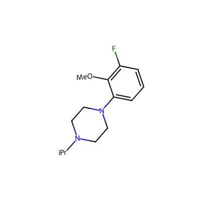 COc1c(F)cccc1N1CCN(C(C)C)CC1